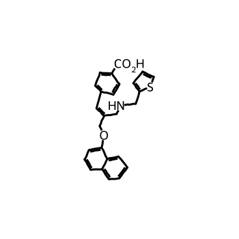 O=C(O)c1ccc(C=C(CNCc2cccs2)COc2cccc3ccccc23)cc1